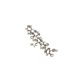 CC(NC(=O)c1ncnc(Nc2ccncc2)c1Cl)c1ncc(C(=O)Nc2ncc(Cl)c(C(C)(C)C)n2)s1